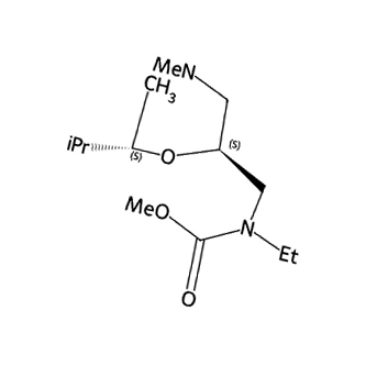 CCN(C[C@H](CNC)O[C@@H](C)C(C)C)C(=O)OC